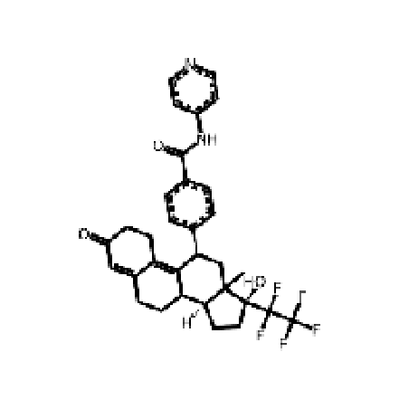 CC12C[C@H](c3ccc(C(=O)Nc4ccncc4)cc3)C3=C4CCC(=O)C=C4CCC3[C@@H]1CC[C@@]2(O)C(F)(F)C(F)(F)F